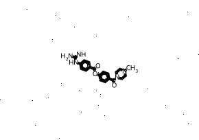 CN1CCN(C(=O)c2ccc(OC(=O)c3ccc(NC(=N)N)cc3)cc2)CC1